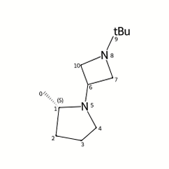 C[C@H]1CCCN1C1CN(C(C)(C)C)C1